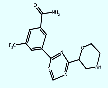 NC(=O)c1cc(-c2ncnc(C3CNCCO3)n2)cc(C(F)(F)F)c1